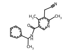 Cc1ncc(C(=O)NC(C)c2ccccc2)c(C)c1CC#N